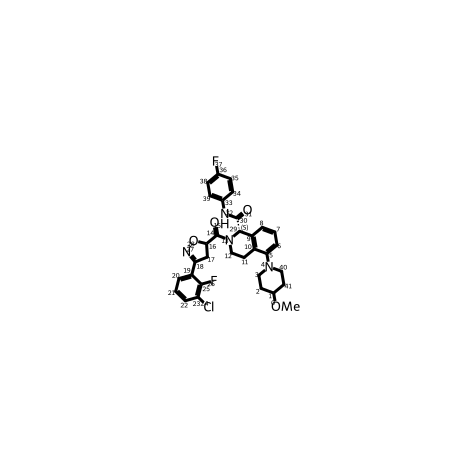 COC1CCN(c2cccc3c2CCN(C(=O)C2CC(c4cccc(Cl)c4F)=NO2)[C@@H]3C(=O)Nc2ccc(F)cc2)CC1